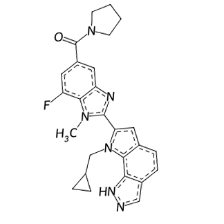 Cn1c(-c2cc3ccc4cn[nH]c4c3n2CC2CC2)nc2cc(C(=O)N3CCCC3)cc(F)c21